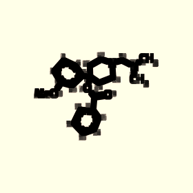 COc1cccc(C2(OC(=O)c3ccccc3)CCN(CN(C)C)CC2)c1